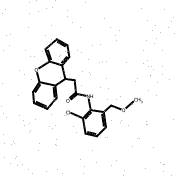 COCc1cccc(Cl)c1NC(=O)CC1c2ccccc2Oc2ccccc21